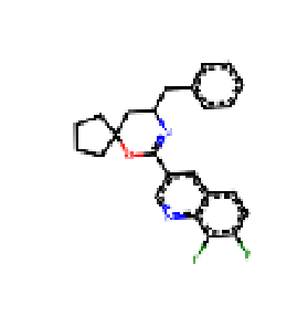 Fc1ccc2cc(C3=NC(Cc4ccccc4)CC4(CCCC4)O3)cnc2c1F